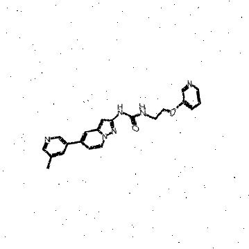 Cc1cncc(-c2ccn3nc(NC(=O)NCCOc4cccnc4)cc3c2)c1